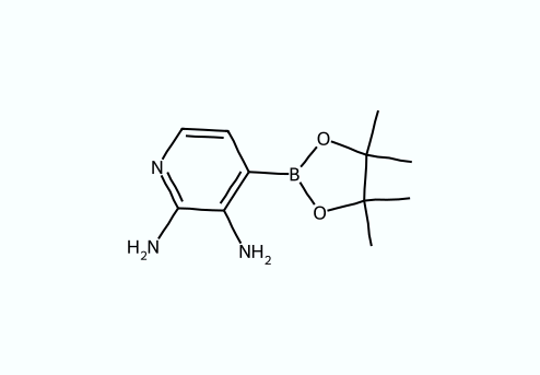 CC1(C)OB(c2ccnc(N)c2N)OC1(C)C